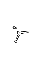 O=[Te]=O.[Se]